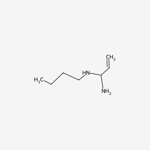 C=CC(N)NCCCC